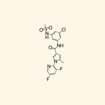 Cc1cc(C(=O)Nc2cc(Cl)cc(NS(C)(=O)=O)c2)cn1-c1ncc(F)cc1F